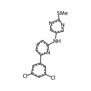 CSc1ncc(Nc2c[c]cc(-c3cc(Cl)cc(Cl)c3)n2)cn1